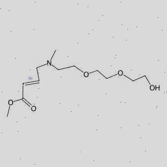 COC(=O)/C=C/CN(C)CCOCCOCCO